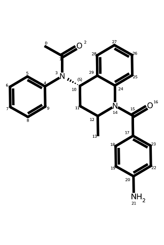 CC(=O)N(c1ccccc1)[C@H]1CC(C)N(C(=O)c2ccc(N)cc2)c2ccccc21